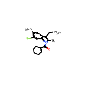 COc1cc2c(CC(=O)O)c(C)n(C(=O)C3CCCCC3)c2cc1F